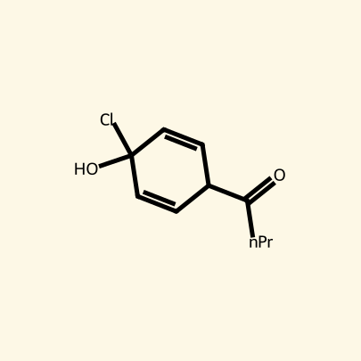 CCCC(=O)C1C=CC(O)(Cl)C=C1